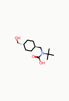 CC(C)(C)N(C[C@H]1CC[C@H](CO)CC1)C(=O)O